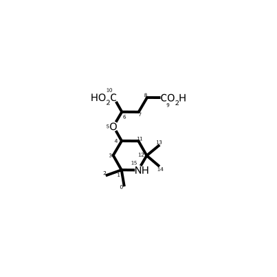 CC1(C)CC(OC(CCC(=O)O)C(=O)O)CC(C)(C)N1